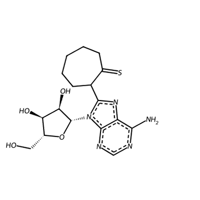 Nc1ncnc2c1nc(C1CCCCCC1=S)n2[C@@H]1O[C@H](CO)[C@@H](O)[C@H]1O